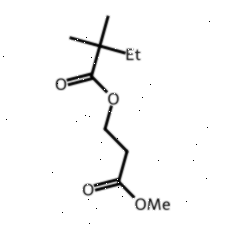 CCC(C)(C)C(=O)OCCC(=O)OC